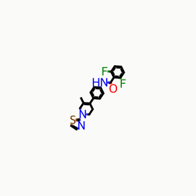 CC1=C(c2ccc(NC(=O)c3c(F)cccc3F)cc2)CCN(c2nccs2)C1